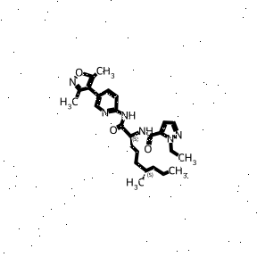 CCC[C@H](C)CCC[C@H](NC(=O)c1ccnn1CC)C(=O)Nc1ccc(-c2c(C)noc2C)cn1